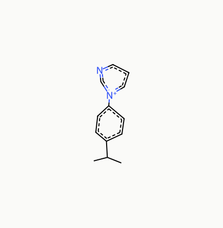 CC(C)c1ccc(-[n+]2cccnc2)cc1